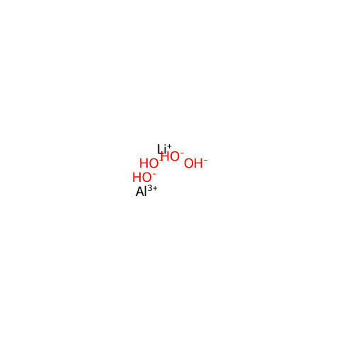 [Al+3].[Li+].[OH-].[OH-].[OH-].[OH-]